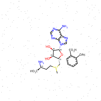 CC(=O)Oc1ccccc1C(=O)O.C[S+](CC[C@H](N)C(=O)O)C[C@H]1O[C@@H](n2cnc3c(N)ncnc32)[C@H](O)[C@@H]1O